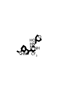 CP(C)c1cccc2c(C3=C(C(F)(F)F)CNC(NCC4(O)CCOCC4)=N3)c[nH]c12